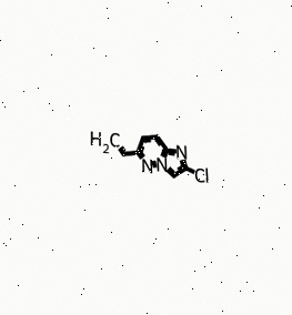 C=Cc1ccc2nc(Cl)cn2n1